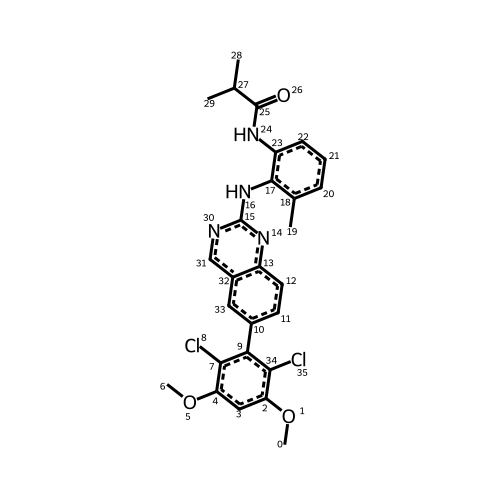 COc1cc(OC)c(Cl)c(-c2ccc3nc(Nc4c(C)cccc4NC(=O)C(C)C)ncc3c2)c1Cl